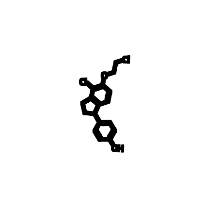 Oc1ccc(C2CCc3c2ccc(OCCCl)c3Cl)cc1